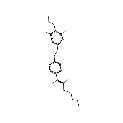 CCCCC/C(F)=C(\F)c1ccc(CCc2cc(F)c(CCC)c(F)c2)cc1